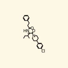 CCC(C)[C@@H](NC(=O)CCc1ccccc1)C(=O)N1CCC(c2ccc(Cl)cc2)CC1